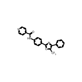 O=C(Nc1ccc(-c2nc(-c3ccccc3)c(C(F)(F)F)o2)cc1)c1ccncc1